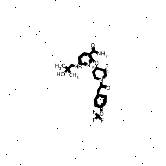 CC(C)(O)CNc1ccc(C(N)=O)c(O[C@@H]2CCN(C(=O)Cc3ccc(OC(F)(F)F)cc3)C[C@@H]2F)n1